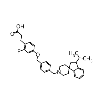 CC(C)C1CC2(CCN(Cc3ccc(COc4ccc(CCC(=O)O)c(F)c4)cc3)CC2)c2ccccc21